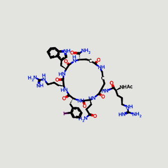 CC(=O)N[C@@H](CCCNC(=N)N)C(=O)N[C@H]1CCCNC(=O)CC[C@@H](C(N)=O)NC(=O)[C@H](Cc2c[nH]c3ccccc23)NC(=O)[C@H](CCCNC(=N)N)NC(=O)[C@@H](Cc2ccccc2I)NC(=O)[C@H](CCC(N)=O)NC1=O